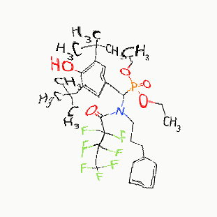 CCOP(=O)(OCC)C(c1cc(C(C)(C)C)c(O)c(C(C)(C)C)c1)N(CCCc1ccccc1)C(=O)C(F)(F)C(F)(F)C(F)(F)F